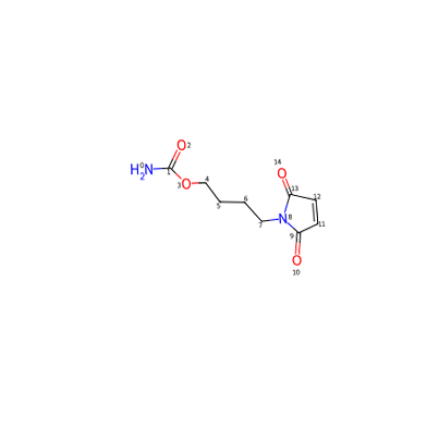 NC(=O)OCCCCN1C(=O)C=CC1=O